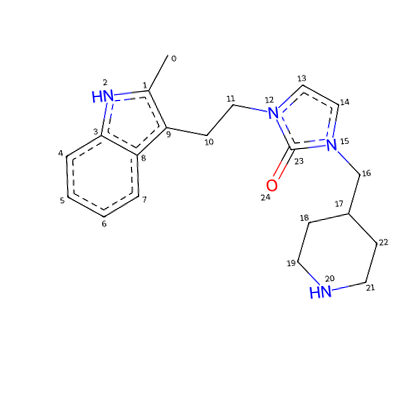 Cc1[nH]c2ccccc2c1CCn1ccn(CC2CCNCC2)c1=O